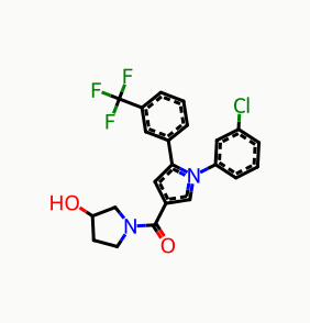 O=C(c1cc(-c2cccc(C(F)(F)F)c2)n(-c2cccc(Cl)c2)c1)N1CCC(O)C1